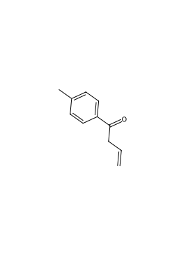 C=CCC(=O)c1ccc(C)cc1